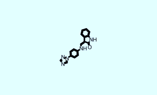 O=C1Nc2ccccc2C1=CNc1ccc(-n2cncn2)cc1